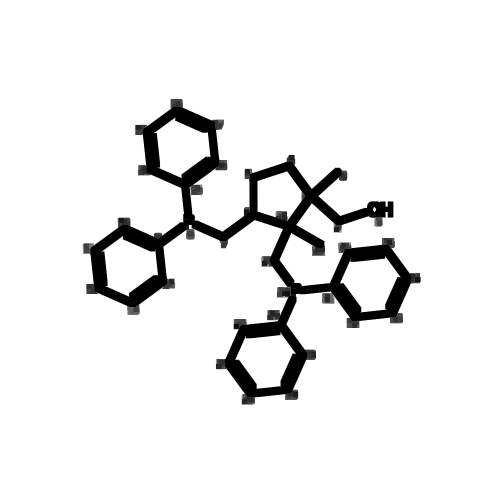 CC1(CO)CCC(CP(c2ccccc2)c2ccccc2)C1(C)CP(c1ccccc1)c1ccccc1